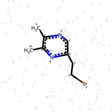 Cc1ncc(CCBr)nc1C